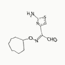 Nc1nc(C([C]=O)=NOC2CCCCCC2)cs1